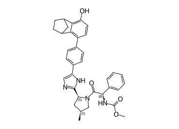 COC(=O)N[C@@H](C(=O)N1C[C@@H](C)C[C@H]1c1ncc(-c2ccc(-c3ccc(O)c4c3C3CCC4C3)cc2)[nH]1)c1ccccc1